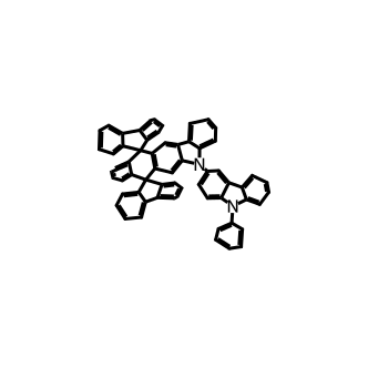 c1ccc(-n2c3ccccc3c3cc(-n4c5ccccc5c5cc6c(cc54)C4(c5ccccc5-c5ccccc54)c4ccccc4C64c5ccccc5-c5ccccc54)ccc32)cc1